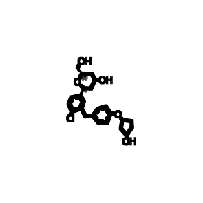 OC[C@@H]1CC(O)C[C@H](c2ccc(Cl)c(Cc3ccc(OC4CCC(O)C4)cc3)c2)O1